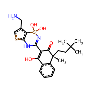 CC(C)(C)CC[C@@]1(C)C(=O)C(C2=NS(O)(O)c3c(CN)csc3N2)=C(O)c2ccccc21